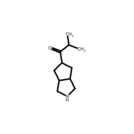 CC(C)C(=O)C1CC2CNCC2C1